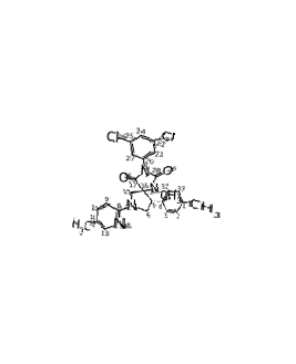 Cc1ccc([C@@H]2CN(c3ccc(C)cn3)C[C@]23C(=O)N(c2cc(Cl)cc(Cl)c2)C(=O)N3C)cc1